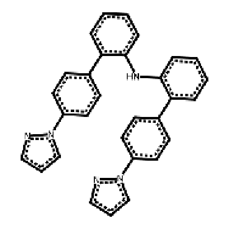 c1ccc(-c2ccc(-n3cccn3)cc2)c(Nc2ccccc2-c2ccc(-n3cccn3)cc2)c1